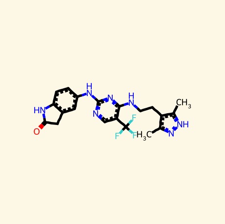 Cc1n[nH]c(C)c1CCNc1nc(Nc2ccc3c(c2)CC(=O)N3)ncc1C(F)(F)F